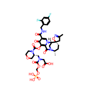 CC1=NO[C@@]2(CC[C@H](C)N3C[C@H]2n2cc(C(=O)NCc4ccc(F)cc4F)c(=O)c(OC(=O)N4CCOC[C@H]4CN(CC(=O)O)C(=O)OCOP(=O)(O)O)c2C3=O)C1